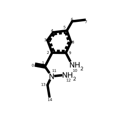 C=C(c1ccc(CC)cc1N)N(N)CC